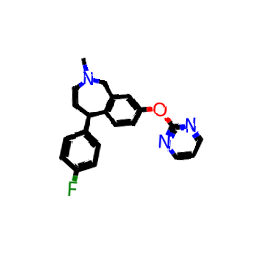 CN1CCC(c2ccc(F)cc2)c2ccc(Oc3ncccn3)cc2C1